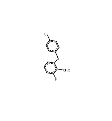 O=Cc1c(F)cccc1Sc1ccc(Cl)cc1